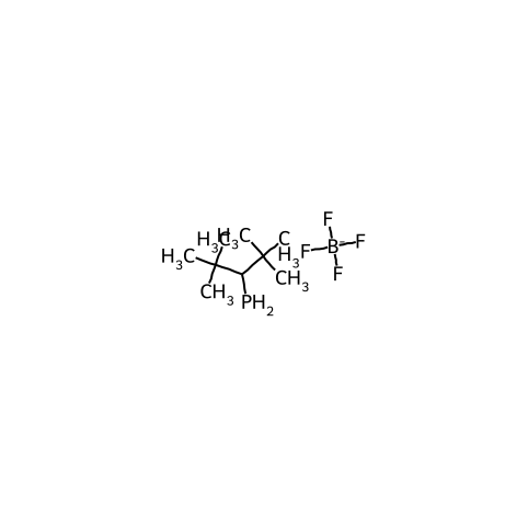 CC(C)(C)C(P)C(C)(C)C.F[B-](F)(F)F